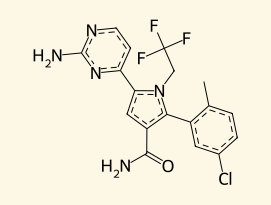 Cc1ccc(Cl)cc1-c1c(C(N)=O)cc(-c2ccnc(N)n2)n1CC(F)(F)F